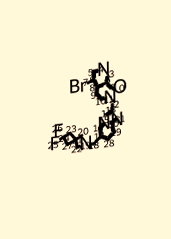 O=c1c2cncc(Br)c2ccn1Cc1cn2cc(CN3CC4(C3)CC(F)(F)C4)ccc2n1